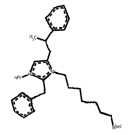 CCCCCCCCCCCCCCCCC[n+]1c(CC(C)c2ccccc2)cn(CCC)c1Cc1ccccc1